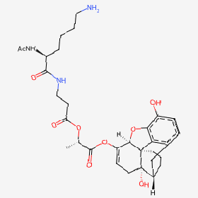 CC(=O)N[C@@H](CCCCN)C(=O)NCCC(=O)O[C@@H](C)C(=O)OC1=CC[C@]2(O)[C@H]3CCC[C@]24c2c(ccc(O)c2O[C@H]14)C3